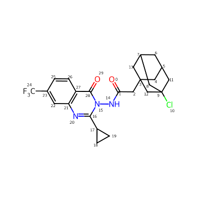 O=C(CC12CC3CC(CC(Cl)(C3)C1)C2)Nn1c(C2CC2)nc2cc(C(F)(F)F)ccc2c1=O